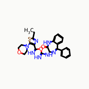 CCc1nc(C(=N)OC(=N)N[C@H]2N=C(c3ccccc3)c3ccccc3NC2=O)c(N2CCOCC2)s1